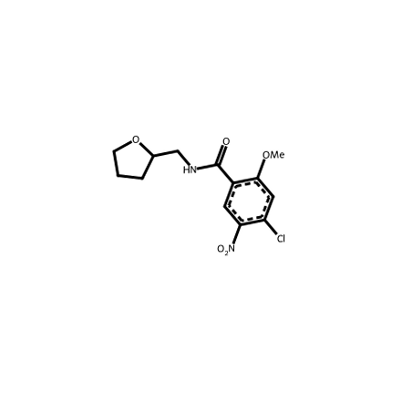 COc1cc(Cl)c([N+](=O)[O-])cc1C(=O)NCC1CCCO1